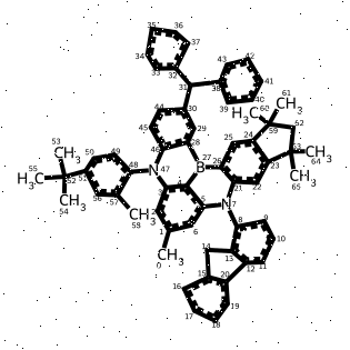 Cc1cc2c3c(c1)N(c1cccc4c1Cc1ccccc1-4)c1cc4c(cc1B3c1cc(C(c3ccccc3)c3ccccc3)ccc1N2c1ccc(C(C)(C)C)cc1C)C(C)(C)CC4(C)C